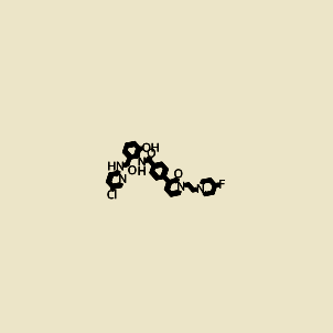 O=C(Nc1c(O)cccc1C(=O)Nc1ccc(Cl)cn1)c1ccc(-c2cccn(CCN3CCC(F)CC3)c2=O)cc1